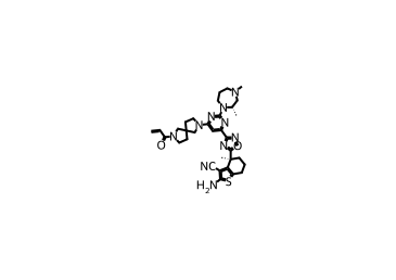 C=CC(=O)N1CCC2(CCN(c3cc(-c4noc([C@@]5(C)CCCc6sc(N)c(C#N)c65)n4)nc(N4CCCN(C)C[C@@H]4C)n3)C2)C1